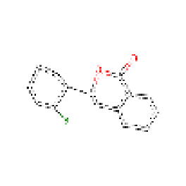 O=c1oc(-c2ccccc2Br)cc2ccccc12